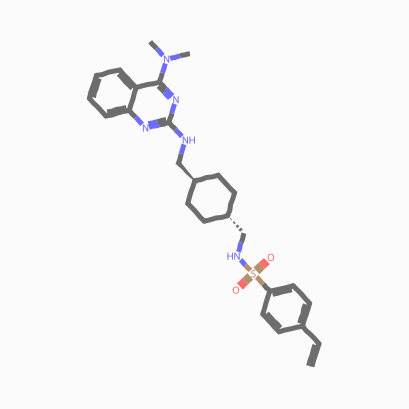 C=Cc1ccc(S(=O)(=O)NC[C@H]2CC[C@H](CNc3nc(N(C)C)c4ccccc4n3)CC2)cc1